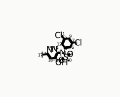 CS(=O)(=O)N(c1cc(Cl)cc(Cl)c1)c1nnc(I)cc1O